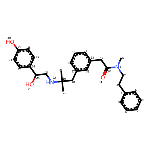 CN(CCc1ccccc1)C(=O)Cc1cccc(CC(C)(C)NCC(O)c2ccc(O)cc2)c1